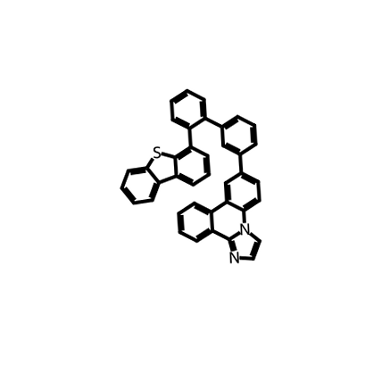 c1cc(-c2ccc3c(c2)c2ccccc2c2nccn32)cc(-c2ccccc2-c2cccc3c2sc2ccccc23)c1